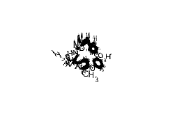 Cc1nc(-c2nnn(C)c2CNc2nnc(Cc3ccccc3)o2)ccc1O[C@H]1CCC[C@H](C(=O)O)C1